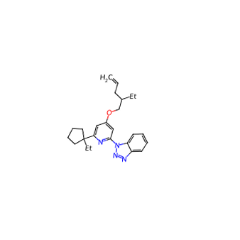 C=CCC(CC)COc1cc(-n2nnc3ccccc32)nc(C2(CC)CCCC2)c1